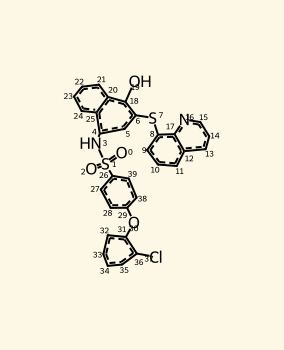 O=S(=O)(Nc1cc(Sc2cccc3cccnc23)c(O)c2ccccc12)c1ccc(Oc2ccccc2Cl)cc1